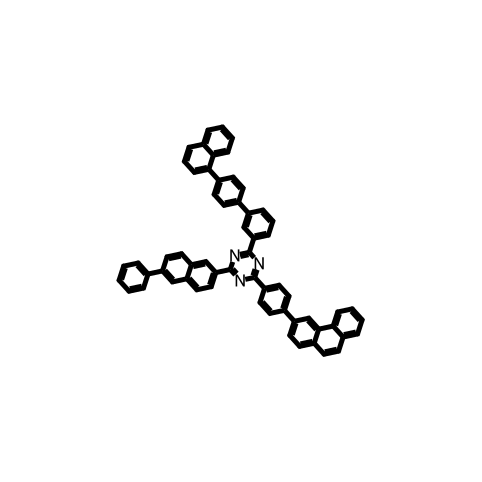 c1ccc(-c2ccc3cc(-c4nc(-c5ccc(-c6ccc7ccc8ccccc8c7c6)cc5)nc(-c5cccc(-c6ccc(-c7cccc8ccccc78)cc6)c5)n4)ccc3c2)cc1